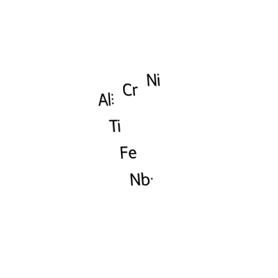 [Al].[Cr].[Fe].[Nb].[Ni].[Ti]